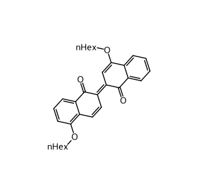 CCCCCCOC1=C/C(=C2/C=Cc3c(OCCCCCC)cccc3C2=O)C(=O)c2ccccc21